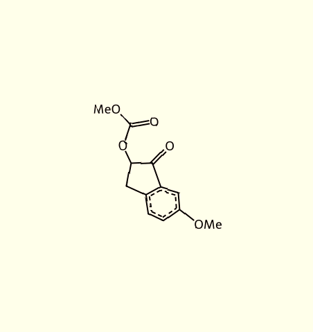 COC(=O)OC1Cc2ccc(OC)cc2C1=O